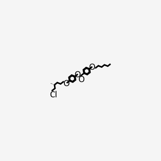 CCCCCCOc1ccc(C(=O)Oc2ccc(OCCC[C@@H](C)CCCl)cc2)cc1